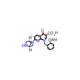 COc1ccccc1Cn1cc(C(=O)O)c(=O)c2cc(F)c(N3C[C@@H]4C[C@H]3CN4)nc21